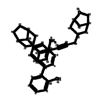 Nc1nnc(-c2ccccc2O)cc1N1CC2CCC(C1)N2c1ccnc(C#CCN2CC3COC(C3)C2)c1